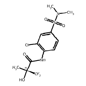 CN(C)S(=O)(=O)c1ccc(NC(=O)[C@@](C)(O)C(F)(F)F)c(Cl)c1